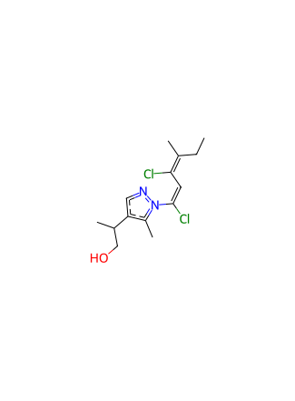 CC/C(C)=C(Cl)\C=C(\Cl)n1ncc(C(C)CO)c1C